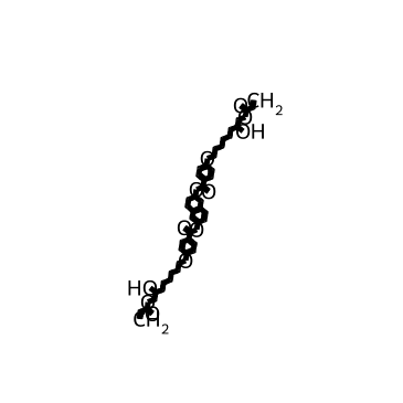 C=CC(=O)OCC(O)CCCCCCOc1ccc(C(=O)Oc2ccc3c(c2)CCC(OC(=O)c2ccc(OCCCCCCC(O)COC(=O)C=C)cc2)C3)cc1